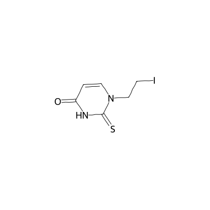 O=c1ccn(CCI)c(=S)[nH]1